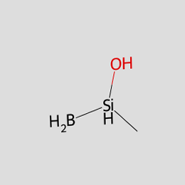 B[SiH](C)O